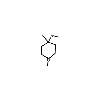 CSC1(C)CCN(C)CC1